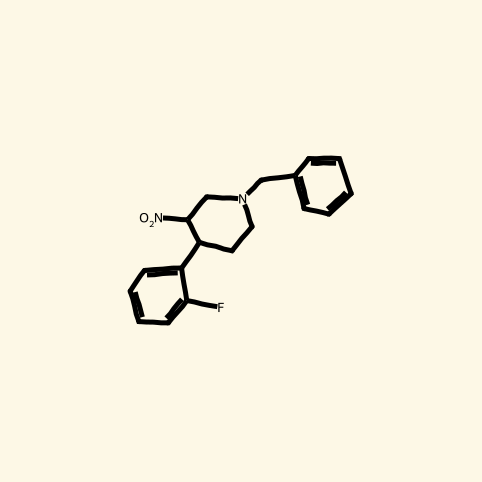 O=[N+]([O-])C1CN(Cc2ccccc2)CCC1c1ccccc1F